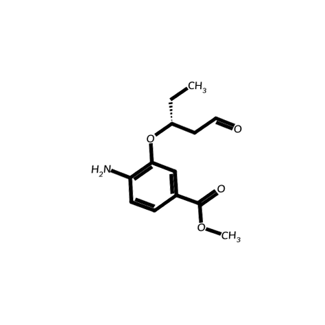 CC[C@H](CC=O)Oc1cc(C(=O)OC)ccc1N